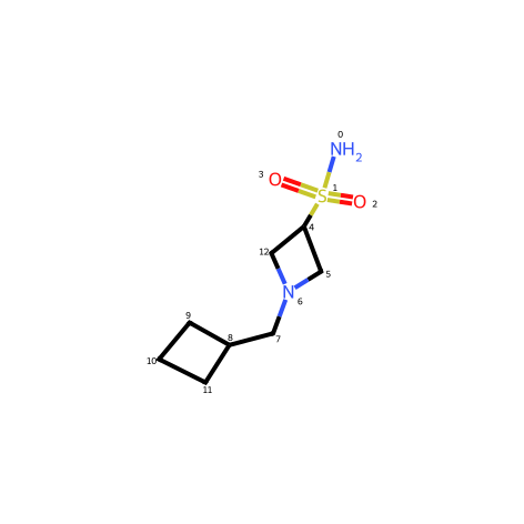 NS(=O)(=O)C1CN(CC2CCC2)C1